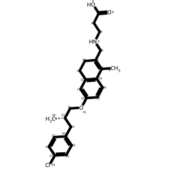 CC1=C(CNCCC(=O)O)CCc2cc(OC[C@@H](C)Cc3ccc(Cl)cc3)ccc21